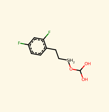 OC(O)O[SiH2]CCc1ccc(F)cc1F